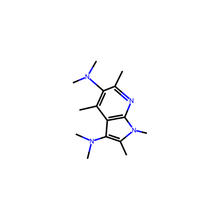 Cc1nc2c(c(C)c1N(C)C)c(N(C)C)c(C)n2C